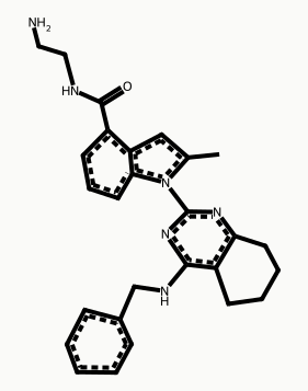 Cc1cc2c(C(=O)NCCN)cccc2n1-c1nc2c(c(NCc3ccccc3)n1)CCCC2